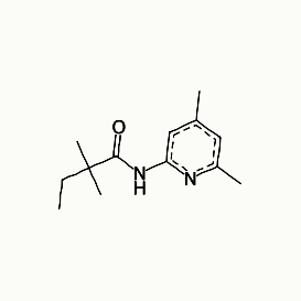 CCC(C)(C)C(=O)Nc1cc(C)cc(C)n1